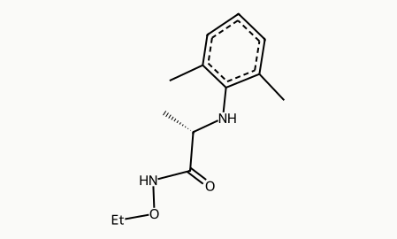 CCONC(=O)[C@H](C)Nc1c(C)cccc1C